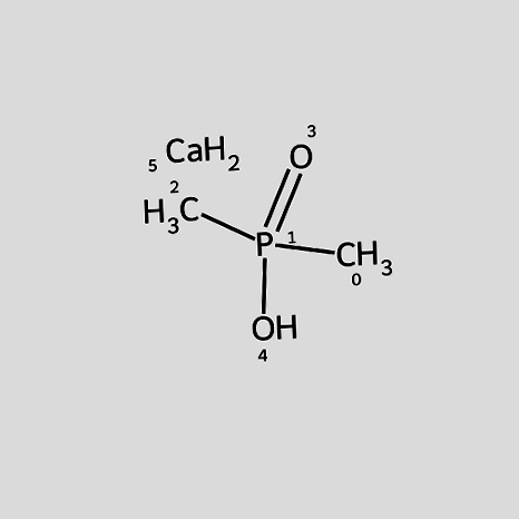 CP(C)(=O)O.[CaH2]